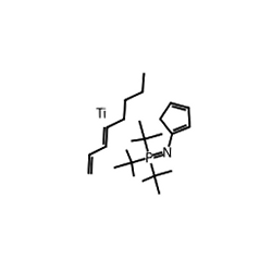 C=CC=CCCCC.CC(C)(C)P(=NC1=CC=CC1)(C(C)(C)C)C(C)(C)C.[Ti]